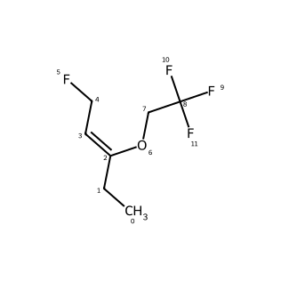 CCC(=CCF)OCC(F)(F)F